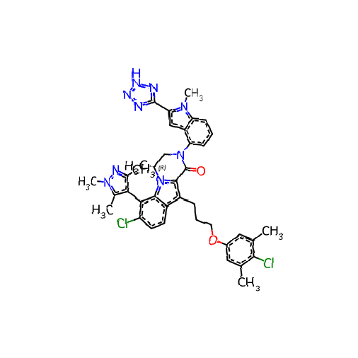 Cc1cc(OCCCc2c3n(c4c(-c5c(C)nn(C)c5C)c(Cl)ccc24)[C@H](C)CN(c2cccc4c2cc(-c2nn[nH]n2)n4C)C3=O)cc(C)c1Cl